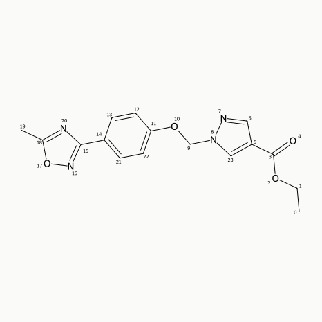 CCOC(=O)c1cnn(COc2ccc(-c3noc(C)n3)cc2)c1